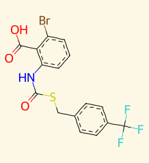 O=C(Nc1cccc(Br)c1C(=O)O)SCc1ccc(C(F)(F)F)cc1